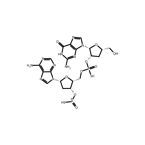 Nc1nc2c(ncn2[C@@H]2O[C@H](CO)C[C@@H]2OP(=O)(S)OC[C@H]2O[C@@H](n3cnc4c(N)ncnc43)C[C@H]2O[PH](=O)S)c(=O)[nH]1